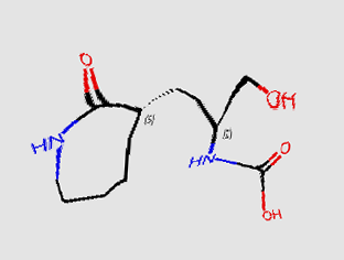 O=C(O)N[C@H](CO)C[C@@H]1CCCNC1=O